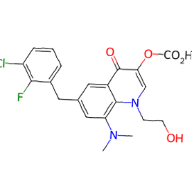 CN(C)c1cc(Cc2cccc(Cl)c2F)cc2c(=O)c(OC(=O)O)cn(CCO)c12